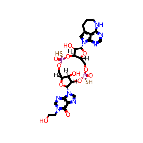 O=c1c2ncn([C@@H]3O[C@@H]4COP(=O)(S)O[C@H]5[C@@H](O)[C@H](n6cc7c8c(ncnc86)NCCC7)O[C@@H]5COP(=O)(S)O[C@@H]3[C@@H]4O)c2ncn1CCO